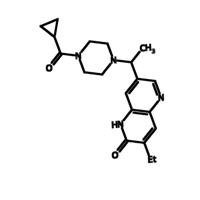 CCc1cc2ncc(C(C)N3CCN(C(=O)C4CC4)CC3)cc2[nH]c1=O